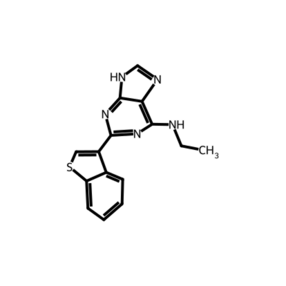 CCNc1nc(-c2csc3ccccc23)nc2[nH]cnc12